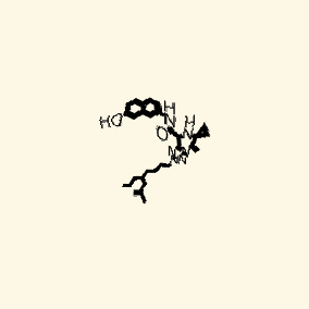 CCCC(CCCCn1nnc(C(NC2(CC)CC2)C(=O)Nc2ccc3ccc(O)cc3c2)n1)CC(C)C